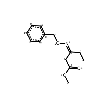 CCC(CC(=O)OC)=NOCc1ccccc1